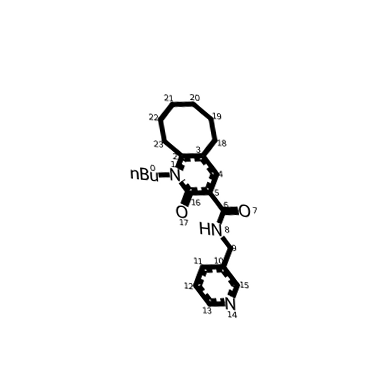 CCCCn1c2c(cc(C(=O)NCc3cccnc3)c1=O)CCCCCC2